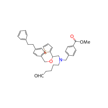 COC(=O)c1ccc(CN(CCCCC=O)CC(OCc2ccc(CCc3ccccc3)cc2)c2cccs2)cc1